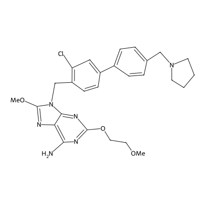 COCCOc1nc(N)c2nc(OC)n(Cc3ccc(-c4ccc(CN5CCCC5)cc4)cc3Cl)c2n1